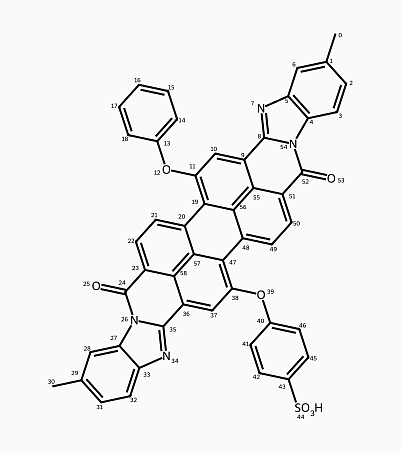 Cc1ccc2c(c1)nc1c3cc(Oc4ccccc4)c4c5ccc6c(=O)n7c8cc(C)ccc8nc7c7cc(Oc8ccc(S(=O)(=O)O)cc8)c(c8ccc(c(=O)n21)c3c84)c5c67